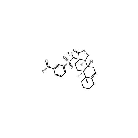 C[C@]12CCCCC1=CC[C@@H]1[C@@H]2CC[C@]2(C(N)S(=O)(=O)c3cccc([N+](=O)[O-])c3)C(=O)CC[C@@H]12